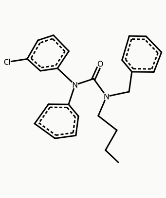 CCCCN(Cc1ccccc1)C(=O)N(c1ccccc1)c1cccc(Cl)c1